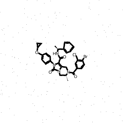 C[C@H](NC(=O)c1c2n(c(=O)n1-c1ccc(OC3CC3)cc1)C[C@@H](C)N(C(=O)c1ccc(Br)c(Cl)c1)C2)c1ccccc1